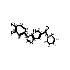 O=C(c1cnc2c(c1)ncn2-c1ccc(F)c(F)c1)N1CCCCC1